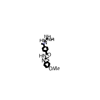 COc1ccc2nc(NC(=O)c3ccc(/C(C)=N/NC(=N)N)cc3)sc2c1